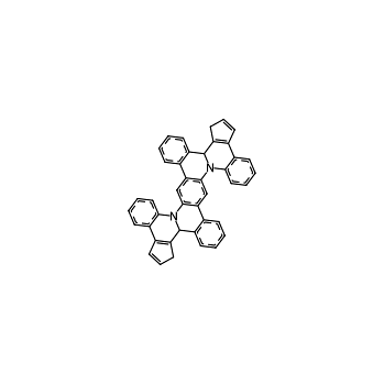 C1=CC2=C(C1)C1c3ccccc3-c3cc4c(cc3N1c1ccccc12)-c1ccccc1C1C2=C(C=CC2)c2ccccc2N41